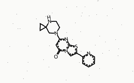 O=c1cc(N2CCNC3(CC3)C2)nc2sc(-c3ccccn3)cn12